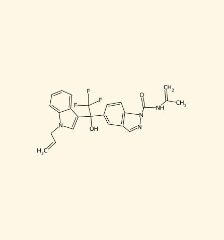 C=CCn1cc(C(O)(c2ccc3c(cnn3C(=O)NC(=C)C)c2)C(F)(F)F)c2ccccc21